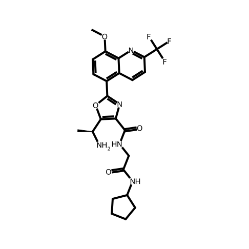 COc1ccc(-c2nc(C(=O)NCC(=O)NC3CCCC3)c([C@H](C)N)o2)c2ccc(C(F)(F)F)nc12